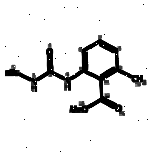 CCCCNC(=O)Nc1cccc(C)c1C(=O)OC